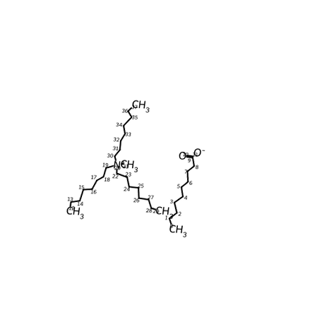 CCCCCCCCCC(=O)[O-].CCCCCCCC[N+](C)(CCCCCCCC)CCCCCCCC